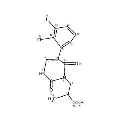 CC(Cn1c(=O)[nH]cc(-c2cccc(F)c2Cl)c1=O)C(=O)O